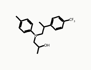 Cc1ccc(N(CC(C)O)CC(C)c2ccc(C(F)(F)F)cc2)cc1